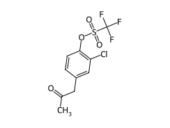 CC(=O)Cc1ccc(OS(=O)(=O)C(F)(F)F)c(Cl)c1